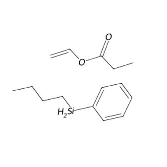 C=COC(=O)CC.CCCC[SiH2]c1ccccc1